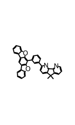 CC1(C)c2cccnc2-c2nc(-c3cccc(-c4c5oc6ccccc6c5cc5c4oc4ccccc45)c3)ccc21